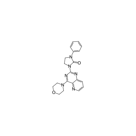 O=C1N(c2ccccc2)CCN1c1nc(N2CCOCC2)c2ncccc2n1